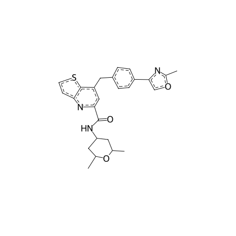 Cc1nc(-c2ccc(Cc3cc(C(=O)NC4CC(C)OC(C)C4)nc4ccsc34)cc2)co1